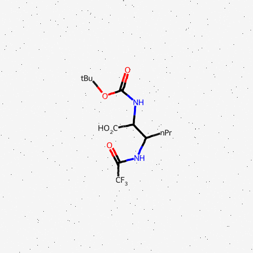 CCCC(NC(=O)C(F)(F)F)C(NC(=O)OC(C)(C)C)C(=O)O